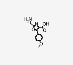 COc1ccc(-c2oc(CN)nc2C(=O)O)cc1